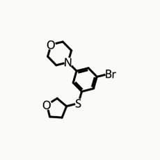 Brc1cc(SC2CCOC2)cc(N2CCOCC2)c1